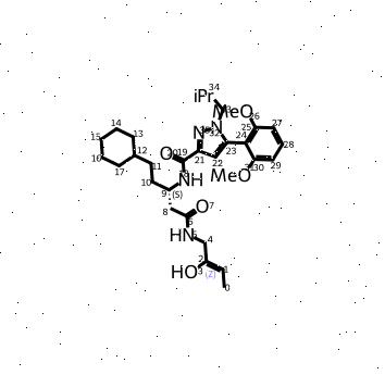 C/C=C(\O)CNC(=O)C[C@H](CCC1CCCCC1)NC(=O)c1cc(-c2c(OC)cccc2OC)n(CC(C)C)n1